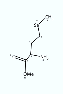 COC(=O)C(N)CC[Se]C